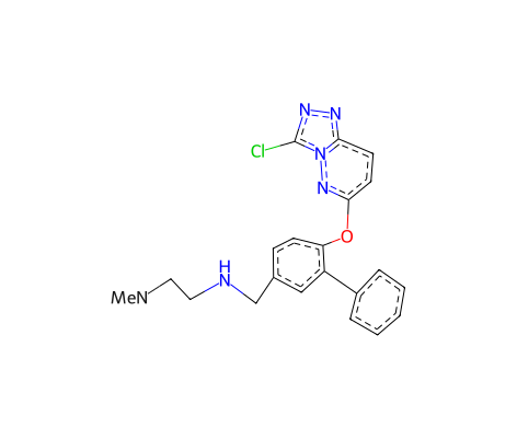 CNCCNCc1ccc(Oc2ccc3nnc(Cl)n3n2)c(-c2ccccc2)c1